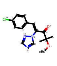 CCCCOC(C)(C)C(=O)C(=Cc1ccc(Cl)cc1)n1cncn1